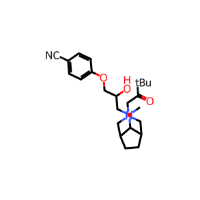 CN(CC(O)COc1ccc(C#N)cc1)C1C2CCC1CN(CC(=O)C(C)(C)C)C2